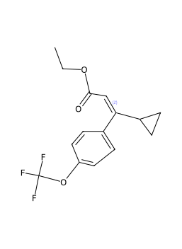 CCOC(=O)/C=C(\c1ccc(OC(F)(F)F)cc1)C1CC1